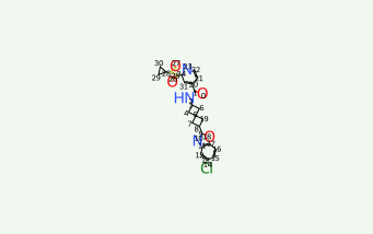 O=C(NC1CC2(C1)CC(c1nc3cc(Cl)ccc3o1)C2)c1ccnc(S(=O)(=O)C2CC2)c1